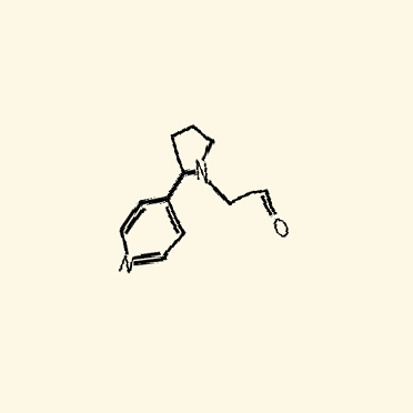 O=CCN1CCCC1c1ccncc1